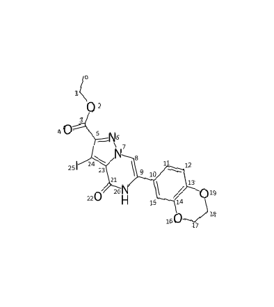 CCOC(=O)c1nn2cc(-c3ccc4c(c3)OCCO4)[nH]c(=O)c2c1I